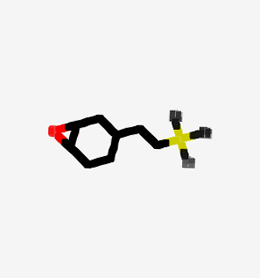 CCS(CC)(CC)CCC1CCC2OC2C1